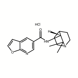 CC1(C)[C@H](NC(=O)c2cnc3occc3c2)C2CCN1CC2.Cl